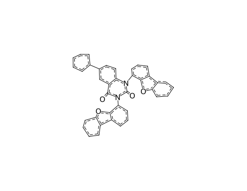 O=c1c2cc(-c3ccccc3)ccc2n(-c2cccc3c2oc2ccccc23)c(=O)n1-c1cccc2c1oc1ccccc12